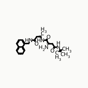 C[C@@H](CC(=O)NCc1cccc2ccccc12)NC(=O)[C@@H](N)CC(=O)NC(C)(C)C